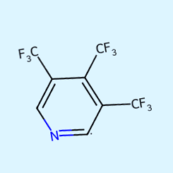 FC(F)(F)c1[c]ncc(C(F)(F)F)c1C(F)(F)F